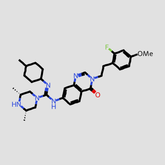 COc1ccc(CCn2cnc3cc(NC(=NC4CCC(C)CC4)N4C[C@@H](C)N[C@@H](C)C4)ccc3c2=O)c(F)c1